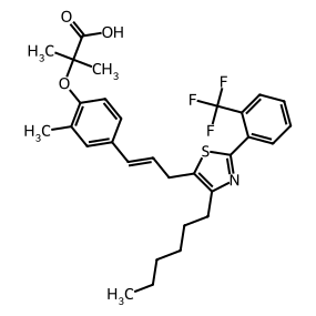 CCCCCCc1nc(-c2ccccc2C(F)(F)F)sc1CC=Cc1ccc(OC(C)(C)C(=O)O)c(C)c1